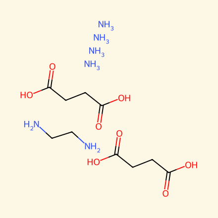 N.N.N.N.NCCN.O=C(O)CCC(=O)O.O=C(O)CCC(=O)O